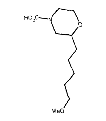 COCCCCCC1CN(C(=O)O)CCO1